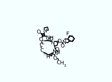 CCOC(=O)[C@@]12C[C@H]1/C=C\CCCCC[C@H](Nc1c(N3CCC3)c(=O)c1=O)C(=O)N1C[C@H](OC(=O)N3Cc4cccc(F)c4C3)CC1C(=O)N2